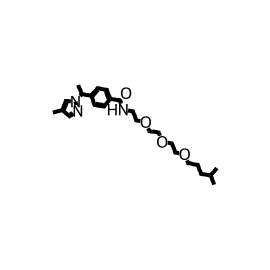 Cc1cnn(C(C)c2ccc(C(=O)NCCOCCOCCOCCCC(C)C)cc2)c1